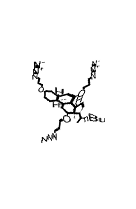 CCCC[C@@H](C)[C@H]1CC[C@H]2C3[C@H](OCCCN=[N+]=[N-])C[C@@H]4C[C@H](OCCCN=[N+]=[N-])CC[C@]4(C)[C@H]3C[C@H](OCCCN=[N+]=[N-])[C@]12C